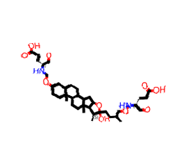 CC(CCC1(O)OC2CC3C4CCC5CC(OCN[C@@H](C=O)CCC(=O)O)CCC5(C)C4CCC3(C)C2[C@@H]1C)CON[C@@H](C=O)CCC(=O)O